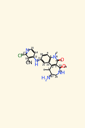 CC1c2c(c(=O)n(C)c3ccc(Nc4ccnc(Cl)c4C#N)cc23)C(=O)NCC1N